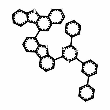 c1ccc(-c2cccc(-c3nc(-c4ccccc4)nc(-c4cccc5c4sc4c(-c6cc7ccccc7c7oc8ccccc8c67)cccc45)n3)c2)cc1